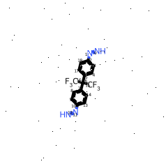 N=Nc1ccc(C(c2ccc(N=N)cc2)(C(F)(F)F)C(F)(F)F)cc1